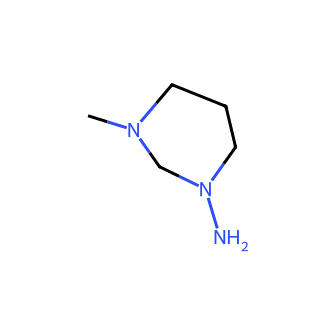 CN1CCCN(N)C1